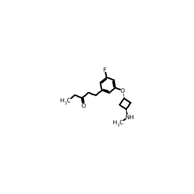 CCC(=O)CCc1cc(F)cc(O[C@H]2C[C@H](NC)C2)c1